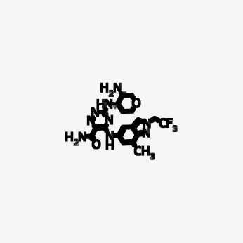 Cc1cc(Nc2nc(N[C@@H]3CCOC[C@@H]3N)nnc2C(N)=O)cc2cn(CC(F)(F)F)nc12